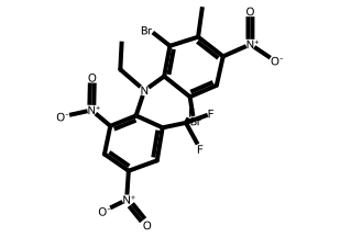 CCN(c1c([N+](=O)[O-])cc([N+](=O)[O-])cc1C(F)(F)F)c1c(Br)cc([N+](=O)[O-])c(C)c1Br